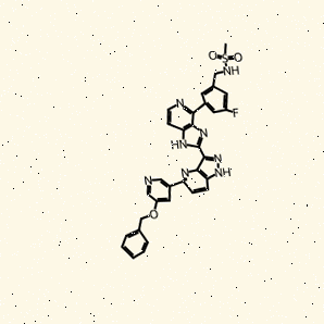 CS(=O)(=O)NCc1cc(F)cc(-c2nccc3[nH]c(-c4n[nH]c5ccc(-c6cncc(OCc7ccccc7)c6)nc45)nc23)c1